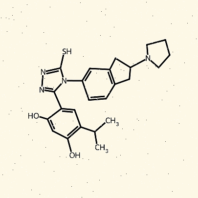 CC(C)c1cc(-c2nnc(S)n2-c2ccc3c(c2)CC(N2CCCC2)C3)c(O)cc1O